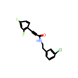 O=C(C#Cc1ccc(F)cc1F)NCCc1cccc(Cl)c1